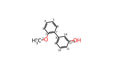 COc1ccc[c]c1-c1cccc(O)c1